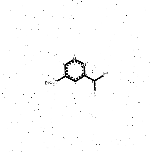 CCOC(=O)c1cnnc(C(F)F)c1